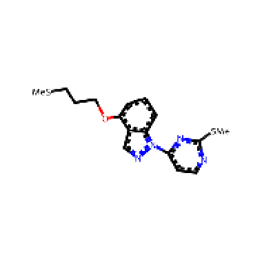 CSCCCOc1cccc2c1cnn2-c1ccnc(SC)n1